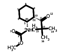 COC(=O)N[C@@H]1CCCC[C@@H]1C(=O)C(C)(C)C